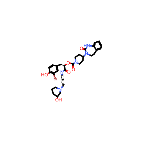 O=C(N=C=C=CN1CCC[C@H](O)C1)[C@@H](Cc1ccc(O)c(Br)c1)OC(=O)N1CCC(N2CCc3ccccc3NC2=O)CC1